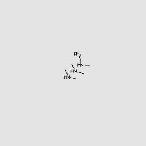 CNC.CNC.CNC.P